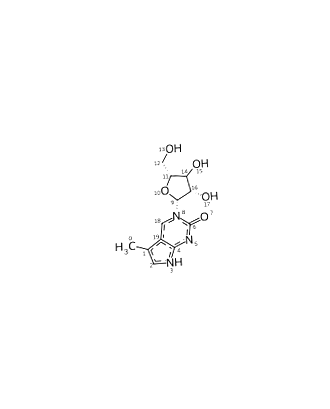 Cc1c[nH]c2nc(=O)n([C@@H]3O[C@H](CO)C(O)[C@@H]3O)cc12